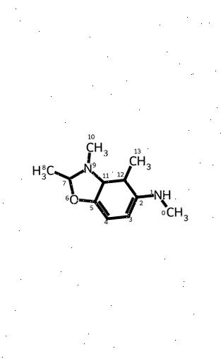 CNC1=CC=C2OC(C)N(C)C2C1C